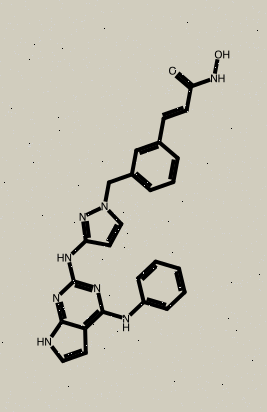 O=C(/C=C/c1cccc(Cn2ccc(Nc3nc(Nc4ccccc4)c4cc[nH]c4n3)n2)c1)NO